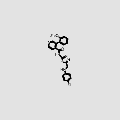 COc1ccccc1-c1cnccc1C(=O)Nc1nnc(CNc2ccc(Cl)cc2)s1